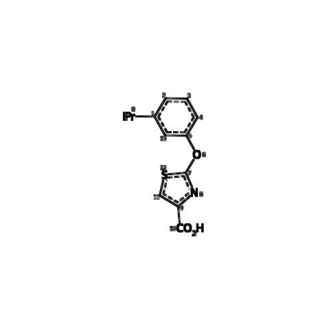 CC(C)c1cccc(Oc2nc(C(=O)O)cs2)c1